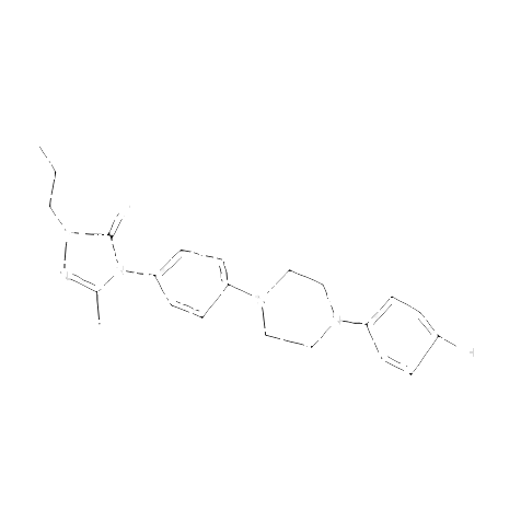 CCCn1nc(C)n(-c2ccc(N3CCN(c4ccc(O)cc4)CC3)cc2)c1=O